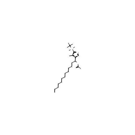 CCCCCCCCCCCCC(OC(C)=O)c1coc([Si](C)(C)C(C)(C)C)c1C